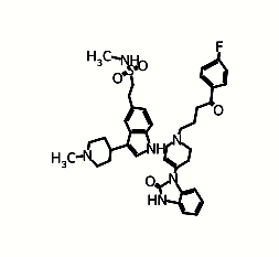 CNS(=O)(=O)CCc1ccc2[nH]cc(C3CCN(C)CC3)c2c1.O=C(CCCN1CC=C(n2c(=O)[nH]c3ccccc32)CC1)c1ccc(F)cc1